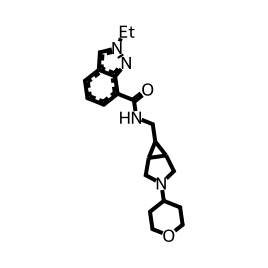 CCn1cc2cccc(C(=O)NCC3C4CN(C5CCOCC5)CC34)c2n1